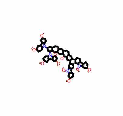 COc1ccc2c(c1)c1cc(OC)ccc1n2-c1cc(-n2c3ccc(OC)cc3c3cc(OC)ccc32)c2c(=O)c3cc4c(=O)c5cc(-c6ccc7c8ccc(OC)cc8n(OC)c7c6)c(-c6ccc7c8ccc(OC)cc8n(OC)c7c6)cc5ccc4cc3ccc2c1